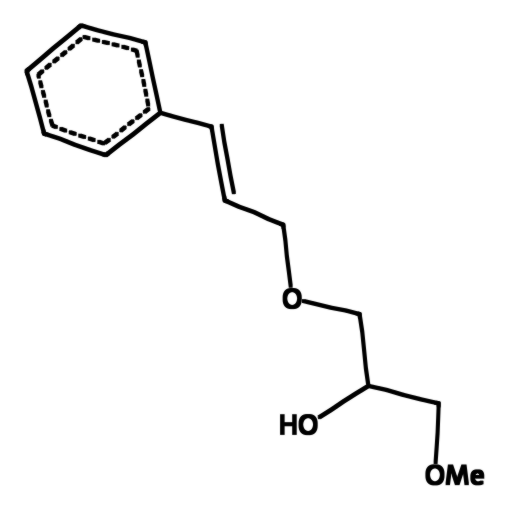 COCC(O)COC/C=C/c1ccccc1